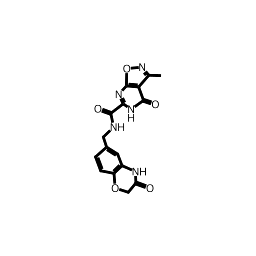 Cc1noc2nc(C(=O)NCc3ccc4c(c3)NC(=O)CO4)[nH]c(=O)c12